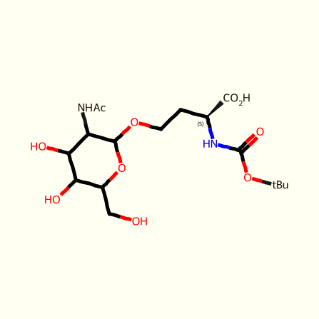 CC(=O)NC1C(OCC[C@H](NC(=O)OC(C)(C)C)C(=O)O)OC(CO)C(O)C1O